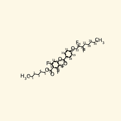 CCCCCCOC(=O)c1c(F)cc(OC(=O)c2ccc(OCC(F)C(F)CCCCC)cc2)c(F)c1F